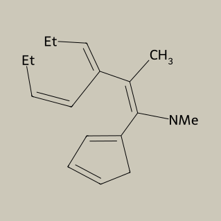 CC\C=C/C(=C\CC)C(/C)=C(/NC)C1=CC=CC1